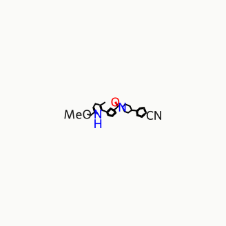 COCC1=CCC(C)=C(c2cccc(C(=O)N3CCC(c4ccc(C#N)cc4)CC3)c2)N1